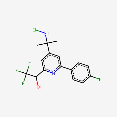 CC(C)(NCl)c1cc(-c2ccc(F)cc2)nc(C(O)C(F)(F)F)c1